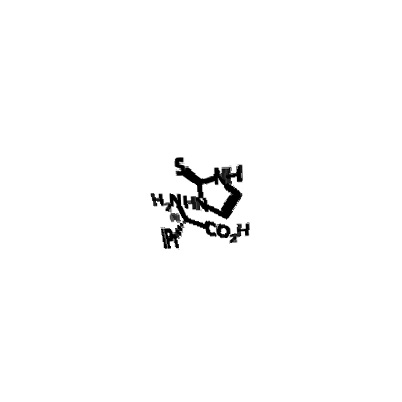 CC(C)[C@H](N)C(=O)O.S=c1[nH]cc[nH]1